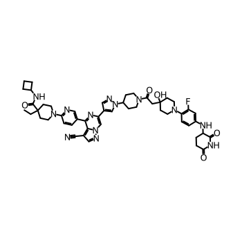 CCC1(C(=O)NC2CCC2)CCN(c2ccc(-c3nc(-c4cnn(C5CCN(C(=O)CC6(O)CCN(c7ccc(NC8CCC(=O)NC8=O)cc7F)CC6)CC5)c4)cn4ncc(C#N)c34)cn2)CC1